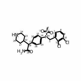 CS(=O)(=O)N(Cc1cccc(Cl)c1Cl)c1ccc(C(C(N)=O)C2CCNCC2)cc1